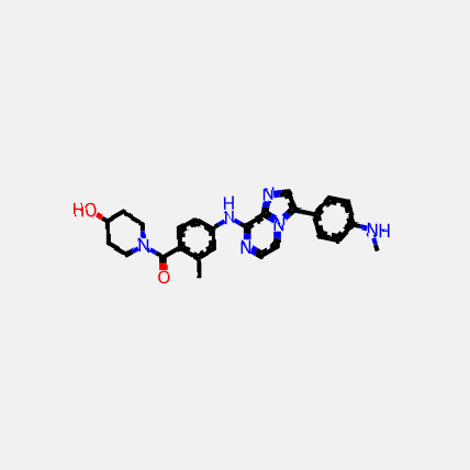 CNc1ccc(-c2cnc3c(Nc4ccc(C(=O)N5CCC(O)CC5)c(C)c4)nccn23)cc1